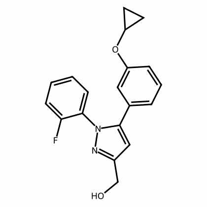 OCc1cc(-c2cccc(OC3CC3)c2)n(-c2ccccc2F)n1